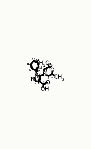 CC1CN(c2c(C(=O)O)cnn2-c2ccccc2)CC(C)O1